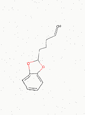 [CH]=CCCCC1Oc2ccccc2O1